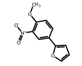 COc1ccc(-c2ccco2)cc1[N+](=O)[O-]